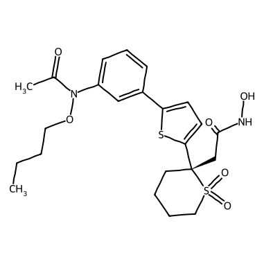 CCCCON(C(C)=O)c1cccc(-c2ccc([C@@]3(CC(=O)NO)CCCCS3(=O)=O)s2)c1